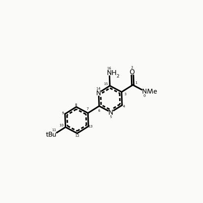 CNC(=O)c1cnc(-c2ccc(C(C)(C)C)cc2)nc1N